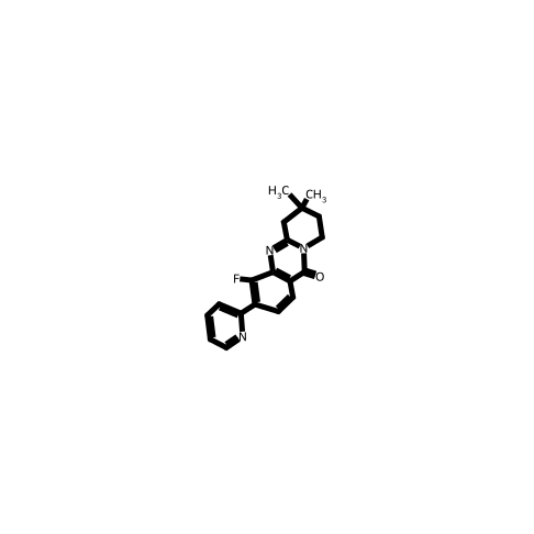 CC1(C)CCn2c(nc3c(F)c(-c4ccccn4)ccc3c2=O)C1